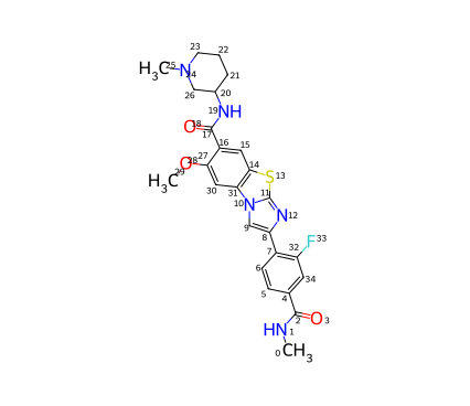 CNC(=O)c1ccc(-c2cn3c(n2)sc2cc(C(=O)NC4CCCN(C)C4)c(OC)cc23)c(F)c1